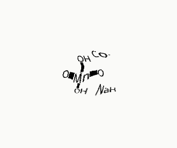 [Co].[NaH].[O]=[Mn](=[O])([OH])[OH]